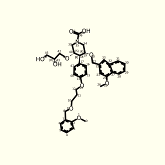 COc1ccccc1COCCCOc1ccc([C@@H]2[C@@H](OCc3cc(OC)c4ccccc4c3)CN(C(=O)O)C[C@H]2OC[C@H](O)CO)cc1